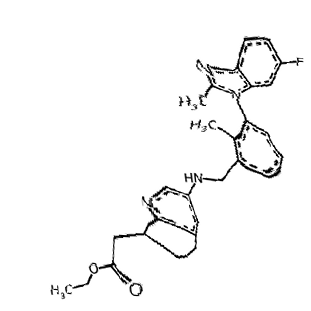 CCOC(=O)CC1CCc2cc(NCc3cccc(-n4c(C)nc5ccc(F)cc54)c3C)cnc21